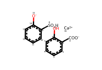 O=C([O-])c1ccccc1O.O=S(=O)(O)c1ccccc1[O-].[Ca+2]